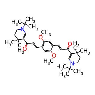 COc1cc(/C=C/C(=O)C2=CN(C(C)(C)C)CCC2(C)C)c(OC)cc1/C=C/C(=O)C1=CN(C(C)(C)C)CCC1(C)C